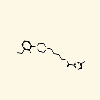 CCc1cccc(N2CCN(CCCCNC(=O)c3nc(C)c[nH]3)CC2)c1Cl